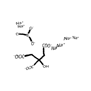 O=C([O-])CC(O)(CC(=O)[O-])C(=O)[O-].[Na+].[Na+].[Na+].[Na+].[Na+].[Na+].[O-]B([O-])[O-]